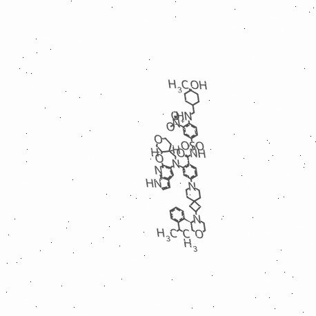 CC(C)c1ccccc1[C@@H]1COCCN1C1CC2(CCN(c3ccc(C(=O)NS(=O)(=O)c4ccc(NCC5CCC(C)(O)CC5)c([N+](=O)[O-])c4)c(N4C[C@H]5CCOC[C@@H]5Oc5nc6[nH]ccc6cc54)c3)CC2)C1